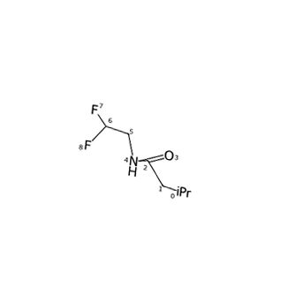 CC(C)CC(=O)NCC(F)F